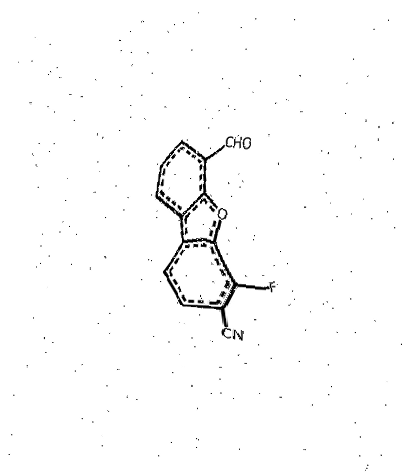 N#Cc1ccc2c(oc3c(C=O)cccc32)c1F